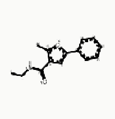 CCNC(=O)c1cc(-c2ccccc2)oc1C